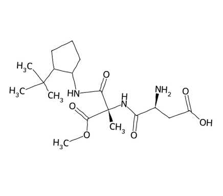 COC(=O)[C@@](C)(NC(=O)[C@@H](N)CC(=O)O)C(=O)NC1CCCC1C(C)(C)C